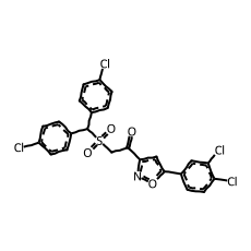 O=C(CS(=O)(=O)C(c1ccc(Cl)cc1)c1ccc(Cl)cc1)c1cc(-c2ccc(Cl)c(Cl)c2)on1